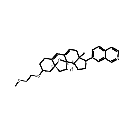 COCCOC1CCC2=CC3=CCC4(C)C(c5ccc6ccncc6c5)CC[C@H]4[C@@]34CC[C@]2(C1)O4